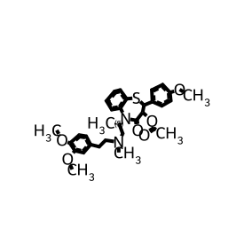 COc1ccc(C2Sc3ccccc3N([C@@H](C)CN(C)CCc3ccc(OC)c(OC)c3)C(=O)C2OC(C)=O)cc1